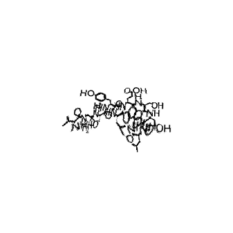 CC(C)C[C@H](NC(=O)[C@H](CC(=O)O)NC(=O)[C@H](CO)NC(=O)[C@H](CCC(=O)O)NC(=O)[C@H](CC(C)C)NC(=O)[C@H](Cc1ccc(O)cc1)NC(=O)[C@H](CO)NC(=O)CNC(=O)[C@@H](N)C(C)C)C(N)=O